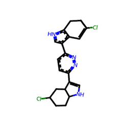 ClC1=Cc2c(-c3ccc(C4=CNC5CCC(Cl)CC45)nn3)c[nH]c2CC1